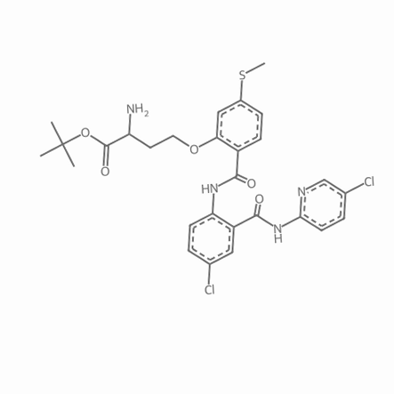 CSc1ccc(C(=O)Nc2ccc(Cl)cc2C(=O)Nc2ccc(Cl)cn2)c(OCCC(N)C(=O)OC(C)(C)C)c1